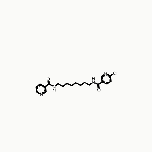 O=C(NCCCCCCCCNC(=O)c1ccc(Cl)nc1)c1cccnc1